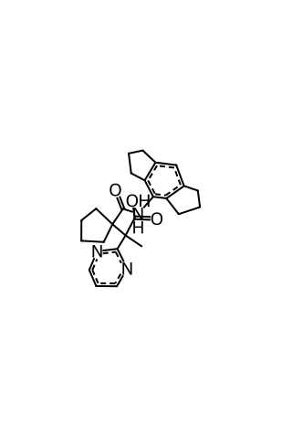 CC(C(=O)O)(c1ncccn1)C1(C(=O)Nc2c3c(cc4c2CCC4)CCC3)CCCC1